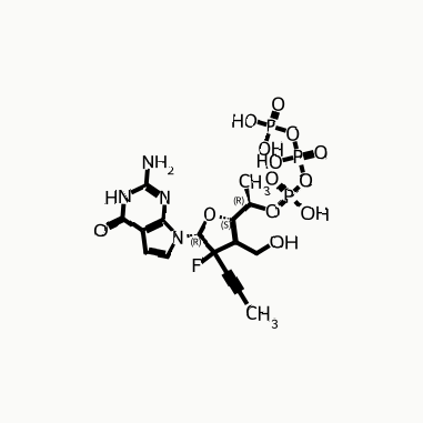 CC#CC1(F)C(CO)[C@@H]([C@@H](C)OP(=O)(O)OP(=O)(O)OP(=O)(O)O)O[C@H]1n1ccc2c(=O)[nH]c(N)nc21